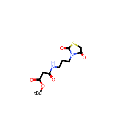 CC(C)(C)OC(=O)CC(=O)NCCCN1C(=O)CSC1=O